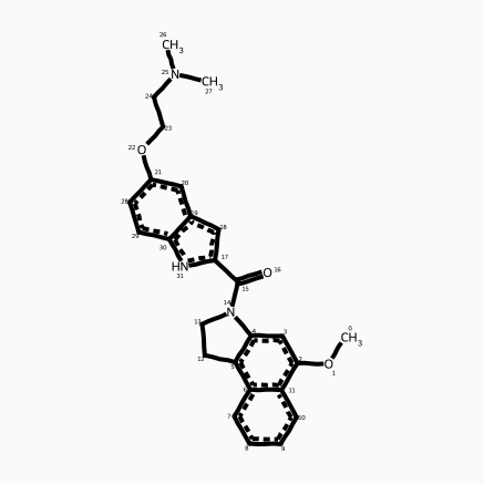 COc1cc2c(c3ccccc13)CCN2C(=O)c1cc2cc(OCCN(C)C)ccc2[nH]1